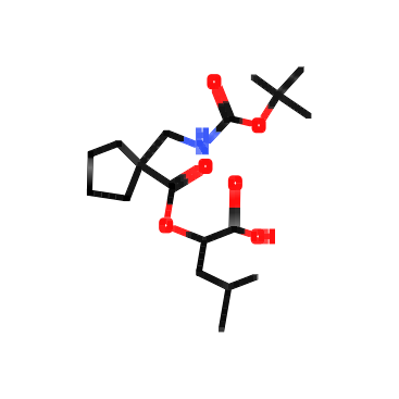 CC(C)CC(OC(=O)C1(CNC(=O)OC(C)(C)C)CCCC1)C(=O)O